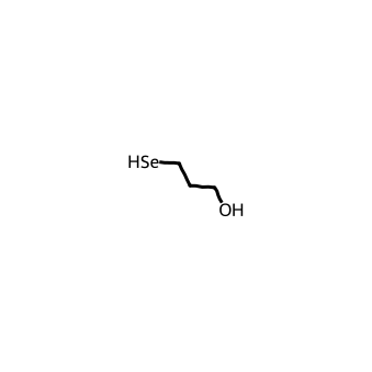 OCCC[SeH]